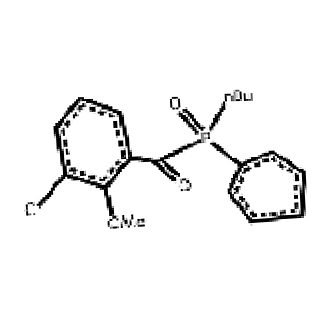 CCCCP(=O)(C(=O)c1cccc(Cl)c1OC)c1ccccc1